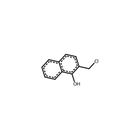 Oc1c(CCl)ccc2ccccc12